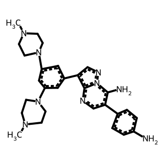 CN1CCN(c2cc(-c3cnn4c(N)c(-c5ccc(N)cc5)cnc34)cc(N3CCN(C)CC3)c2)CC1